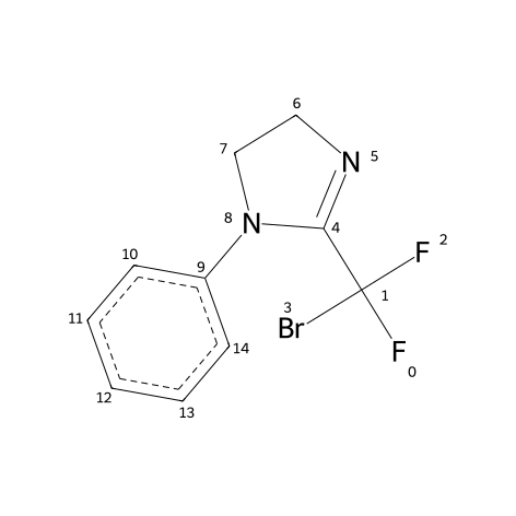 FC(F)(Br)C1=NCCN1c1ccccc1